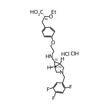 CCO[C@H](Cc1ccc(OCCN[C@H]2[C@@H]3CN(Cc4cc(F)c(F)cc4F)C[C@@H]32)cc1)C(=O)O.Cl.Cl